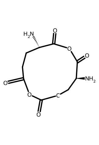 N[C@H]1CCC(=O)OC(=O)CC[C@H](N)C(=O)OC1=O